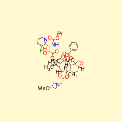 COC1CN(C[C@@H]2O[C@@H]3C4=C(C)[C@@H](OC(=O)[C@H](O)[C@@H](NC(=O)OC(C)C)c5ncccc5F)C[C@@](O)([C@@H](OC(=O)c5ccccc5)[C@H]5[C@@](C)(CC[C@H]6OC[C@]65OC(C)=O)[C@@H]3O2)C4(C)C)C1